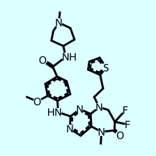 COc1cc(C(=O)NC2CCN(C)CC2)ccc1Nc1ncc2c(n1)N(CCc1cccs1)CC(F)(F)C(=O)N2C